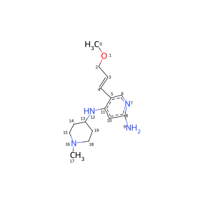 COC/C=C/c1cnc(N)cc1NC1CCN(C)CC1